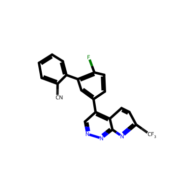 N#Cc1ccccc1-c1cc(-c2cnnc3nc(C(F)(F)F)ccc23)ccc1F